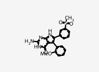 COc1ccccc1-c1c(-c2cccc(S(C)(=O)=O)c2)[nH]c2nc(N)[nH]c(=O)c12